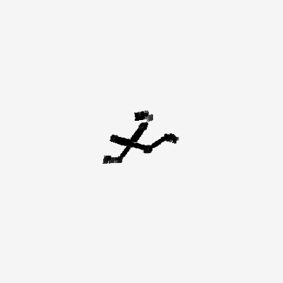 CCCOS(=O)(=O)C(C)CCC.N